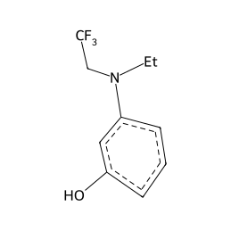 CCN(CC(F)(F)F)c1cccc(O)c1